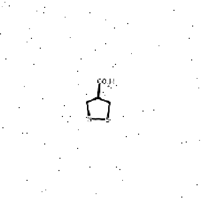 O=C(O)C1CSSC1